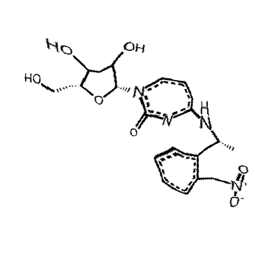 C[C@@H](Nc1ccn([C@@H]2O[C@H](CO)C(O)C2O)c(=O)n1)c1ccccc1[N+](=O)[O-]